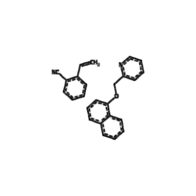 C=Cc1ccccc1C#N.c1ccc(COc2cccc3ccccc23)nc1